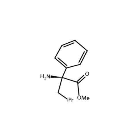 COC(=O)[C@](N)(CC(C)C)c1ccccc1